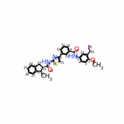 COc1ccc(NC(=O)c2cccc(-c3csc(NC(=O)[C@@H]4Cc5ccccc5[C@H]4C)n3)c2)cc1CI